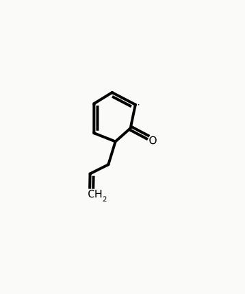 C=CCC1C=CC=[C]C1=O